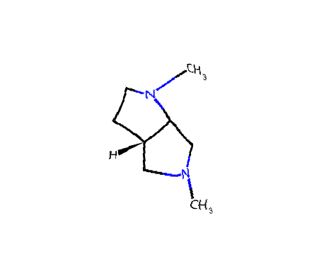 CN1CC2[C@@H](CCN2C)C1